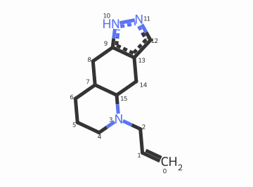 C=CCN1CCCC2Cc3[nH]ncc3CC21